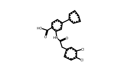 O=C(Cc1ccc(Cl)c(Cl)c1)Nc1cc(-c2ccccc2)ccc1C(=O)O